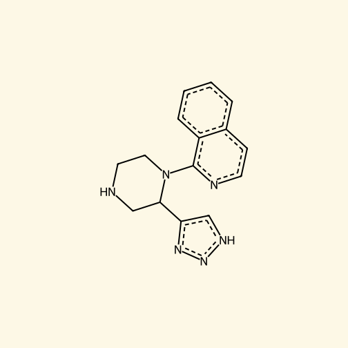 c1ccc2c(N3CCNCC3c3c[nH]nn3)nccc2c1